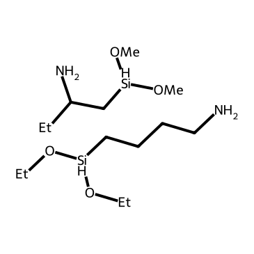 CCC(N)C[SiH](OC)OC.CCO[SiH](CCCCN)OCC